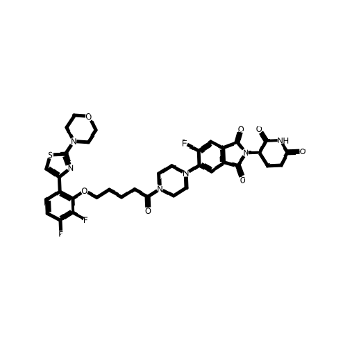 O=C1CCC(N2C(=O)c3cc(F)c(N4CCN(C(=O)CCCCOc5c(-c6csc(N7CCOCC7)n6)ccc(F)c5F)CC4)cc3C2=O)C(=O)N1